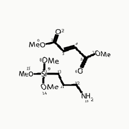 COC(=O)C=CC(=O)OC.CO[Si](CCCN)(OC)OC